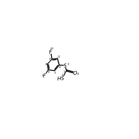 O=C(S)Sc1cc(F)cc(F)c1